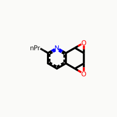 CCCc1ccc2c(n1)C1OC1C1OC21